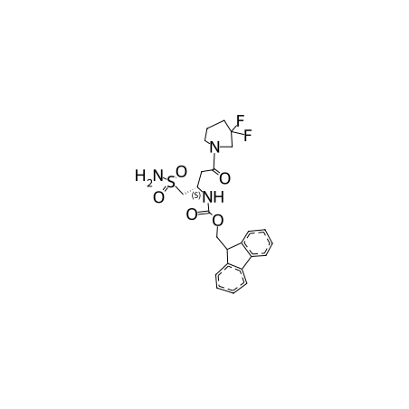 NS(=O)(=O)C[C@H](CC(=O)N1CCCC(F)(F)C1)NC(=O)OCC1c2ccccc2-c2ccccc21